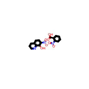 O=C(O)c1ccccc1[N+](=O)[O-].O=[N+]([O-])c1ccc2cccnc2c1O